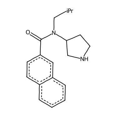 CC(C)CN(C(=O)c1ccc2ccccc2c1)C1CCNC1